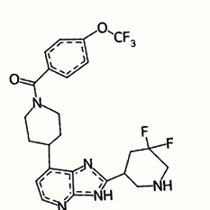 O=C(c1ccc(OC(F)(F)F)cc1)N1CCC(c2ccnc3[nH]c(C4CNCC(F)(F)C4)nc23)CC1